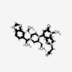 CC[C@H]1CN(C(C)c2ccc3ncoc3c2)[C@H](CC)CN1c1cc(=O)n(C)c2cn(CC#N)nc12